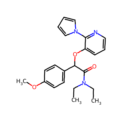 CCN(CC)C(=O)C(Oc1cccnc1-n1cccc1)c1ccc(OC)cc1